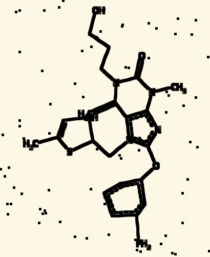 C=C1c2c(nc(Oc3cccc(P)c3)n2CC2NC=C(C)S2)N(C)C(=O)N1CCCO